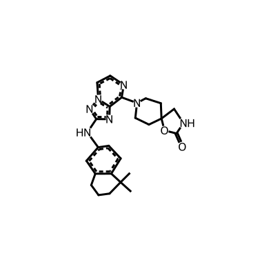 CC1(C)CCCc2cc(Nc3nc4c(N5CCC6(CC5)CNC(=O)O6)nccn4n3)ccc21